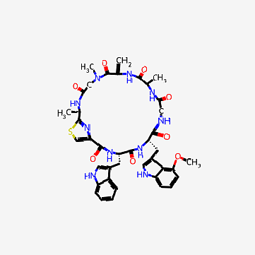 C=C1NC(=O)C(C)NC(=O)CNC(=O)[C@H](Cc2c[nH]c3cccc(OC)c23)NC(=O)[C@H](Cc2c[nH]c3ccccc23)NC(=O)c2csc(n2)[C@@H](C)NC(=O)CN(C)C1=O